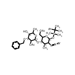 CC(=O)OCC1O[C@@H](O[Si](C)(C)C(C)(C)C(C)C)C(N=[N+]=[N-])[C@@H](C)[C@@H]1O[C@@H]1OC(C)[C@@H](O)[C@@H](OCc2ccccc2)C1OC(C)=O